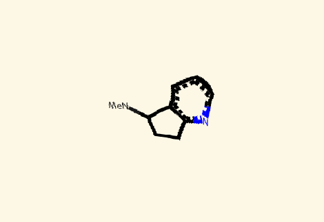 CNC1CCc2ncccc21